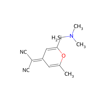 CC1=CC(=C(C#N)C#N)C=C([SiH2]N(C)C)O1